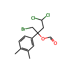 Cc1ccc(C(CBr)(CC(Cl)Cl)OC=O)cc1C